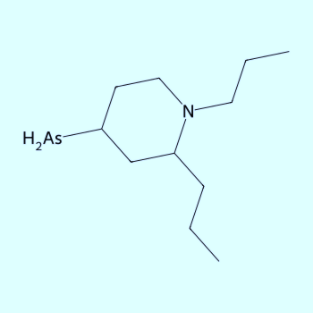 CCCC1CC([AsH2])CCN1CCC